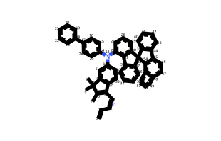 C=C/C=C\C1=C(C)C(C)(C)c2cc(N(c3ccc(-c4ccccc4)cc3)c3cccc4c3-c3ccccc3C43c4ccccc4-c4ccc5ccccc5c43)ccc21